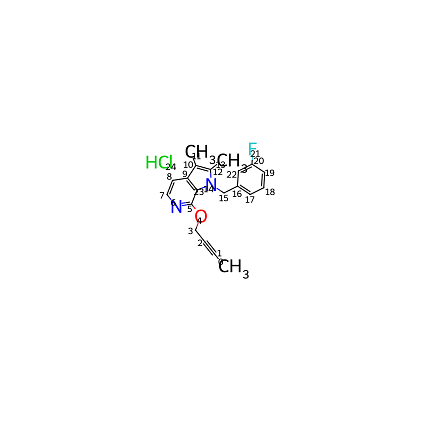 CC#CCOc1nccc2c(C)c(C)n(Cc3cccc(F)c3)c12.Cl